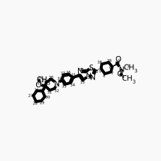 CON(C)C(=O)[C@H]1CC[C@H](c2nn3cc(-c4ccc(N5CCC(OC)(C6CCCCC6)CC5)cc4)nc3s2)CC1